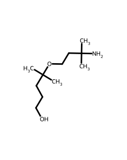 CC(C)(N)CCOC(C)(C)CCCO